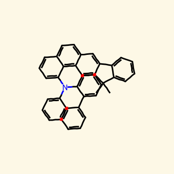 CC1(C)c2ccccc2-c2cc3ccc4cccc(N(c5ccccc5)c5ccccc5-c5ccccc5)c4c3cc21